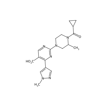 CC1CN(c2ncc(C(=O)O)c(-c3cnn(C)c3)n2)CCN1C(=O)C1CC1